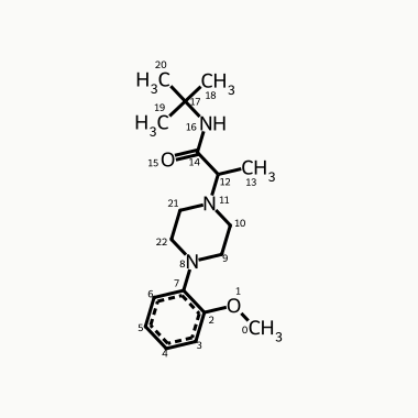 COc1ccccc1N1CCN(C(C)C(=O)NC(C)(C)C)CC1